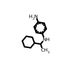 CC(Nc1ccc(N)cc1)C1CCCCC1